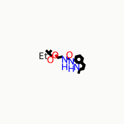 CCC(C)(C)C(=O)OCCNC(=O)Nc1cccc2ccc(C)nc12